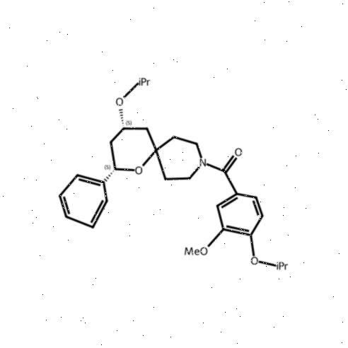 COc1cc(C(=O)N2CCC3(CC2)C[C@@H](OC(C)C)C[C@@H](c2ccccc2)O3)ccc1OC(C)C